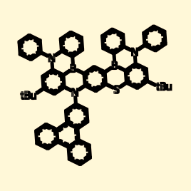 CC(C)(C)c1cc2c3c(c1)N(c1ccccc1)c1ccccc1B3c1cc3c(cc1S2)N(c1ccc2c4ccccc4c4ccccc4c2c1)c1cc(C(C)(C)C)cc2c1B3c1ccccc1N2c1ccccc1